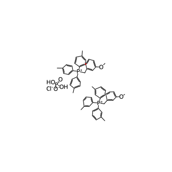 COc1cccc(C[P+](c2ccc(C)cc2)(c2ccc(C)cc2)c2ccc(C)cc2)c1.COc1cccc(C[P+](c2cccc(C)c2)(c2cccc(C)c2)c2cccc(C)c2)c1.O=P([O-])(O)O.[Cl-]